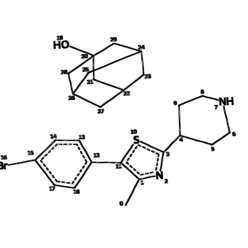 Cc1nc(C2CCNCC2)sc1-c1ccc(Br)cc1.OC12CC3CC(CC(C3)C1)C2